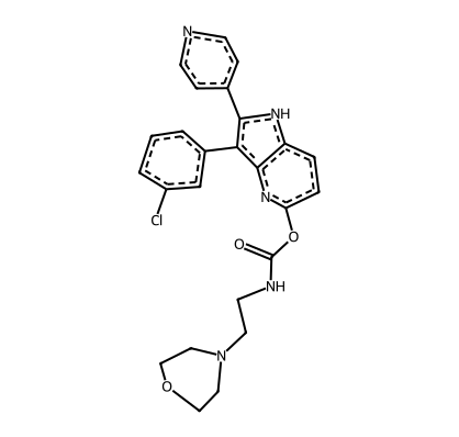 O=C(NCCN1CCOCC1)Oc1ccc2[nH]c(-c3ccncc3)c(-c3cccc(Cl)c3)c2n1